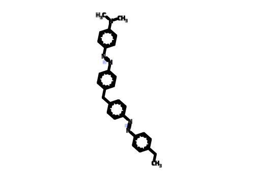 CCc1ccc(/N=N/c2ccc(Cc3ccc(/N=N/c4ccc(N(C)C)cc4)cc3)cc2)cc1